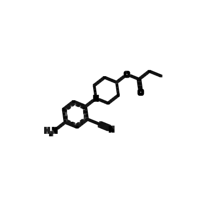 CCC(=O)OC1CCN(c2ccc(N)cc2C#N)CC1